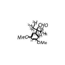 [2H]C([2H])([2H])C(C=O)(c1cc(OC)cc(OC)c1)C([2H])([2H])[2H]